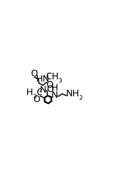 CNC(=O)C(CCC=O)N(C)C(=O)c1c(C=O)cccc1NCCCN